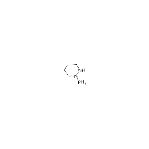 PN1CCCCN1